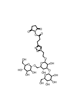 O=C(CCc1cn(CCO[C@@H]2O[C@H](CO[C@H]3O[C@H](CO)[C@@H](O)[C@H](O)[C@@H]3O)[C@@H](O)[C@H](O[C@H]3O[C@H](CO)[C@@H](O)[C@H](O)[C@@H]3O)[C@@H]2O)nn1)ON1C(=O)CCC1=O